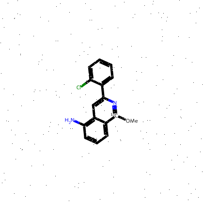 CO[13c]1nc(-c2ccccc2Cl)cc2c(N)cccc21